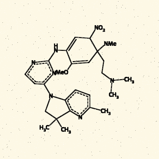 CNC1(CCN(C)C)C=C(OC)C(Nc2nccc(N3CC(C)(C)c4nc(C)ccc43)n2)=CC1[N+](=O)[O-]